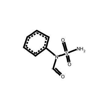 NS(=O)(=O)N([C]=O)c1ccccc1